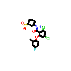 Cc1cc(F)ccc1Oc1cc(Cl)cc(Cl)c1C(=O)NC1=CC=CC(=S(=O)=O)C1